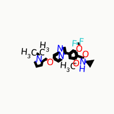 COc1cc(-c2cnc3cc(OCC4CCCN4C(C)C)ccn23)cc(OC(F)F)c1C(=O)NC1CC1